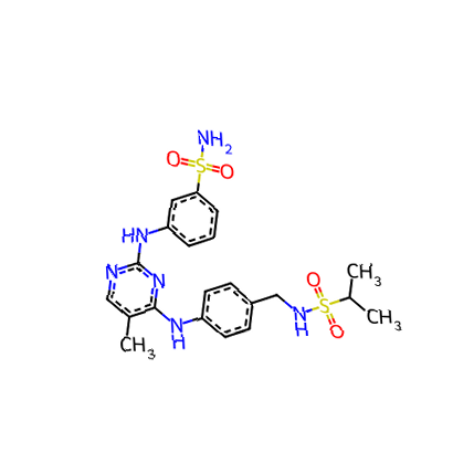 Cc1cnc(Nc2cccc(S(N)(=O)=O)c2)nc1Nc1ccc(CNS(=O)(=O)C(C)C)cc1